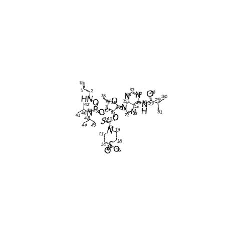 C=CCNOP(O[C@@H]1C(OC(=S)N2CCS(=O)(=O)CC2)[C@H](n2cnc3c(NC(=O)C(C)C)ncnc32)O[C@@H]1C)N(C(C)C)C(C)C